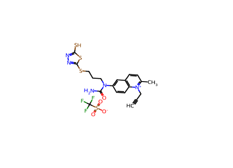 C#CC[n+]1c(C)ccc2cc(N(CCCSc3nnc(S)s3)C(N)=O)ccc21.O=S(=O)([O-])C(F)(F)F